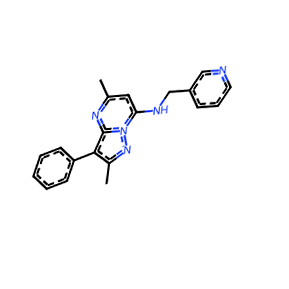 Cc1cc(NCc2cccnc2)n2nc(C)c(-c3ccccc3)c2n1